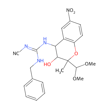 COC(OC)C1(C)Oc2ccc([N+](=O)[O-])cc2C(NC(=NC#N)NCc2ccccc2)C1O